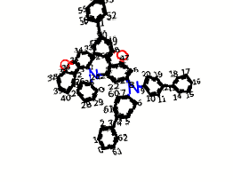 c1ccc(-c2ccc(N(c3ccc(-c4ccccc4)cc3)c3cc(N(c4ccccc4)c4cccc5oc6ccccc6c45)c4c(c3)oc3cc(-c5ccccc5)ccc34)cc2)cc1